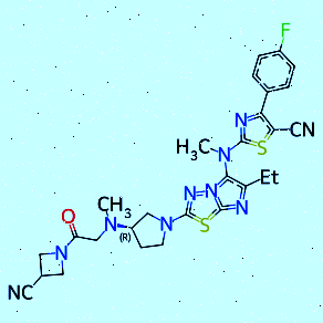 CCc1nc2sc(N3CC[C@@H](N(C)CC(=O)N4CC(C#N)C4)C3)nn2c1N(C)c1nc(-c2ccc(F)cc2)c(C#N)s1